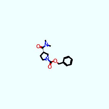 CN(C)C(=O)[C@H]1CCN(C(=O)OCc2ccccc2)C1